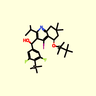 CC(C)c1nc2c(c(I)c1[C@H](O)c1cc(F)c([Si](C)(C)C)c(F)c1)[C@@H](O[Si](C)(C)C(C)(C)C)CC(C)(C)C2